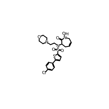 O=C1C(N(CCN2CCOCC2)S(=O)(=O)c2ccc(-c3ccc(Cl)cc3)s2)CC=CCN1O